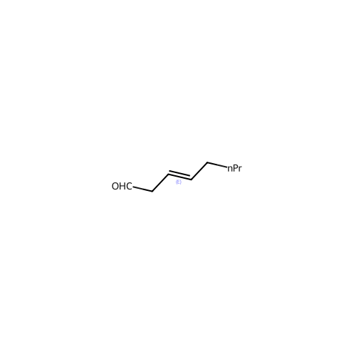 CCCC/C=C/CC=O